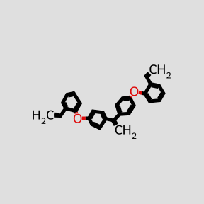 C=Cc1ccccc1Oc1ccc(C(=C)c2ccc(Oc3ccccc3C=C)cc2)cc1